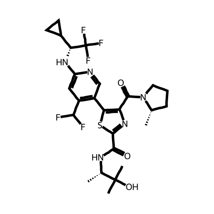 C[C@H](NC(=O)c1nc(C(=O)N2CCC[C@@H]2C)c(-c2cnc(N[C@H](C3CC3)C(F)(F)F)cc2C(F)F)s1)C(C)(C)O